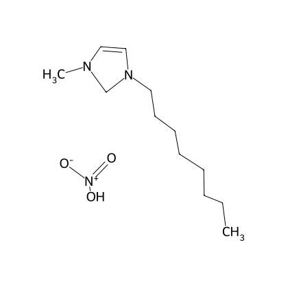 CCCCCCCCN1C=CN(C)C1.O=[N+]([O-])O